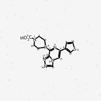 O=C(O)N1CCN(c2nc(-c3ccsc3)cn3cnnc23)CC1